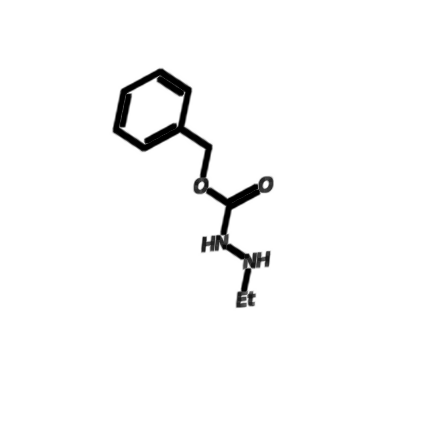 CCNNC(=O)OCc1ccccc1